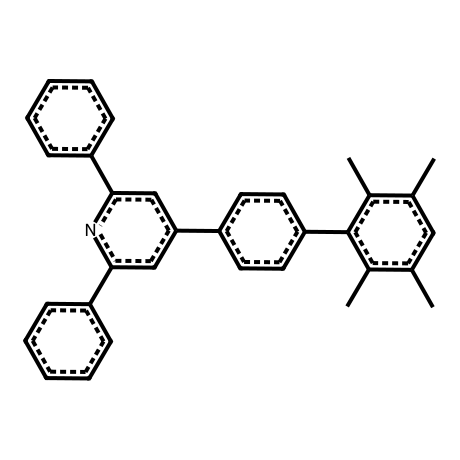 Cc1cc(C)c(C)c(-c2ccc(-c3cc(-c4ccccc4)nc(-c4ccccc4)c3)cc2)c1C